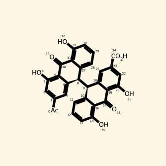 CC(=O)c1cc(O)c2c(c1)[C@H]([C@@H]1c3cccc(O)c3C(=O)c3c(O)cc(C(=O)O)cc31)c1cccc(O)c1C2=O